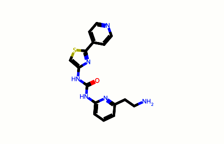 NCCc1cccc(NC(=O)Nc2csc(-c3ccncc3)n2)n1